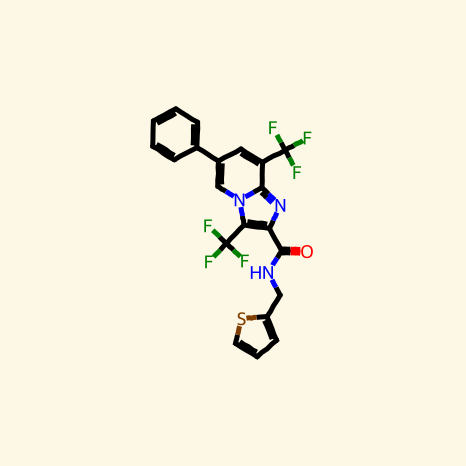 O=C(NCc1cccs1)c1nc2c(C(F)(F)F)cc(-c3ccccc3)cn2c1C(F)(F)F